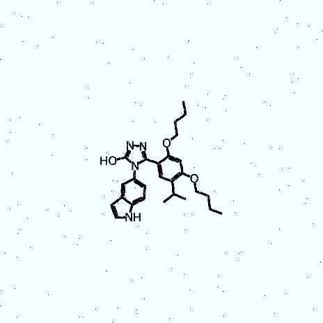 CCCCOc1cc(OCCCC)c(C(C)C)cc1-c1nnc(O)n1-c1ccc2[nH]ccc2c1